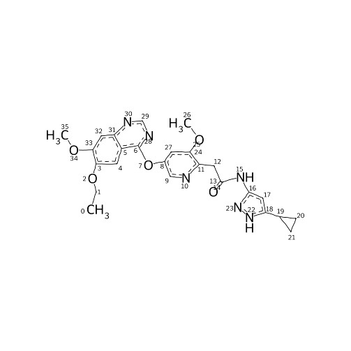 CCOc1cc2c(Oc3cnc(CC(=O)Nc4cc(C5CC5)[nH]n4)c(OC)c3)ncnc2cc1OC